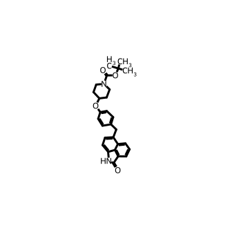 CC(C)(C)OC(=O)N1CCC(Oc2ccc(Cc3ccc4c5c(cccc35)C(=O)N4)cc2)CC1